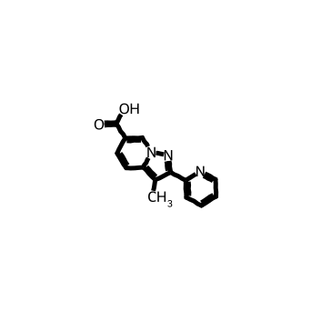 Cc1c(-c2ccccn2)nn2cc(C(=O)O)ccc12